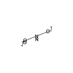 CC(C)=CCCC(C)CCOCCCCCCCCCCCCN(CCCCCCCCCCCCOC(=O)CC(C)CCC=C(C)C)CCN(C)C